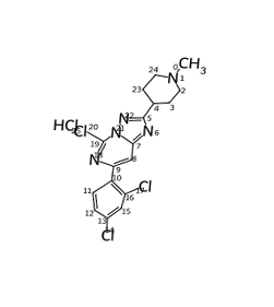 CN1CCC(c2nc3cc(-c4ccc(Cl)cc4Cl)nc(Cl)n3n2)CC1.Cl